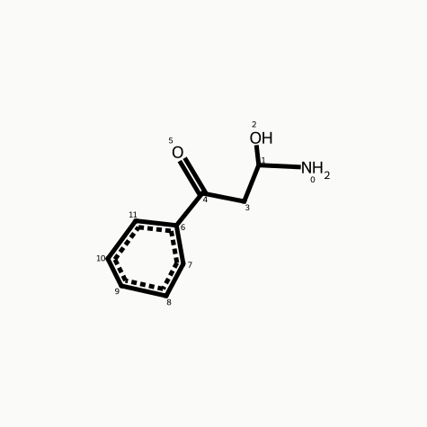 NC(O)CC(=O)c1ccccc1